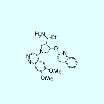 CCC(N)C1CN(c2cnnc3cc(OC)c(OC)cc23)CC1Oc1ccc2ccccc2n1